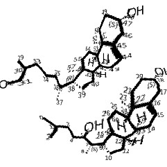 CC(C)CCC(O)[C@@H](C)[C@H]1CC[C@H]2[C@@H]3CC=C4C[C@@H](O)CC[C@]4(C)[C@H]3CC[C@]12C.CC(CO)CCC[C@@H](C)[C@H]1CC[C@H]2[C@@H]3CC=C4C[C@@H](O)CC[C@]4(C)[C@H]3CC[C@]12C